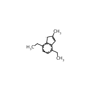 CCc1ccc(CC)c2c1[CH]C(C)=C2